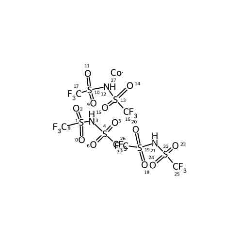 O=S(=O)(NS(=O)(=O)C(F)(F)F)C(F)(F)F.O=S(=O)(NS(=O)(=O)C(F)(F)F)C(F)(F)F.O=S(=O)(NS(=O)(=O)C(F)(F)F)C(F)(F)F.[Co]